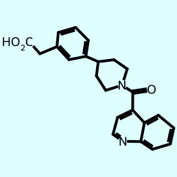 O=C(O)Cc1cccc(C2CCN(C(=O)c3ccnc4ccccc34)CC2)c1